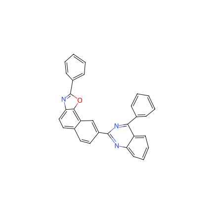 c1ccc(-c2nc3ccc4ccc(-c5nc(-c6ccccc6)c6ccccc6n5)cc4c3o2)cc1